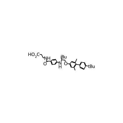 CCC(C)C(COc1cc(C)c(-c2ccc(C(C)(C)C)cc2)c(C)c1)Nc1ccc(C(=O)NCCC(=O)O)cc1